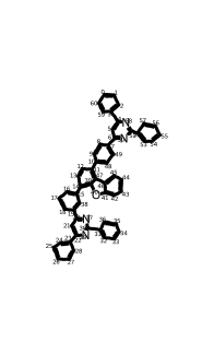 c1ccc(-c2cc(-c3ccc(-c4ccc(-c5cccc(-c6cc(-c7ccccc7)nc(-c7ccccc7)n6)c5)c5oc6ccccc6c45)cc3)nc(-c3ccccc3)n2)cc1